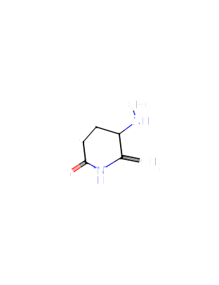 C=C1NC(=O)CCC1NC=O